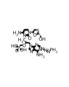 C[C@H](Cn1cnc2c(N)ncnc21)OCP(=O)(O)O.Nc1ccn([C@@H]2CS[C@H](CO)O2)c(=O)n1.[N-]=[N+]=NP